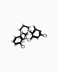 Cc1cc(Cl)cc(Cl)c1N1CCCn2c1nc1c(Cl)cc[c]c12